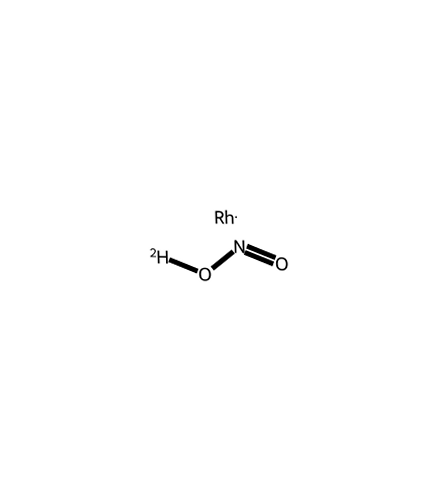 [2H]ON=O.[Rh]